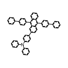 c1ccc(-c2ccc(-c3c4ccccc4c(-c4ccc(-c5ccccc5)cc4)c4cc(-c5ccc(N(c6ccccc6)c6ccccc6)cc5)ccc34)cc2)cc1